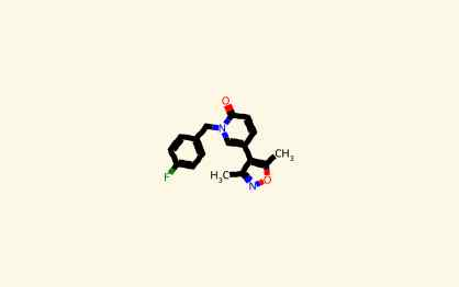 Cc1noc(C)c1-c1ccc(=O)n(Cc2ccc(F)cc2)c1